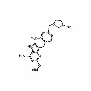 CCCCOc1nc(N)c2[nH]nc(Cc3ccc(CN4CCC(N)C4)cc3OC)c2n1